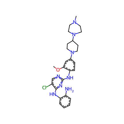 COc1cc(N2CCC(N3CCN(C)CC3)CC2)ccc1Nc1ncc(Cl)c(Nc2ccccc2N)n1